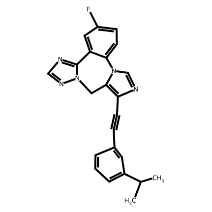 CC(C)c1cccc(C#Cc2ncn3c2Cn2ncnc2-c2cc(F)ccc2-3)c1